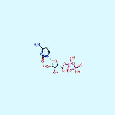 Nc1ccn([C@@H]2O[C@H](C(O)OP(=O)(O)OP(=O)(O)O)[C@@H](O)[C@H]2O)c(=O)n1